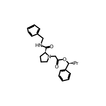 CC(C)[C@H](OC(=O)CN1CCC[C@H]1C(=O)NCc1ccccc1)c1ccccc1